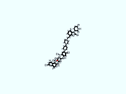 CCOc1cc(N2CCC(N3CCN(CCc4ccc(F)c5c4oc(=O)n5C4CCC(=O)NC4=O)CC3)CC2)c(CC)cc1Nc1nccc(Nc2cc(F)c3nc(CC)ccc3c2P(C)(C)=O)n1